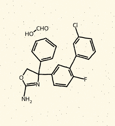 NC1=NC(c2ccccc2)(c2ccc(F)c(-c3cccc(Cl)c3)c2)CO1.O=CO